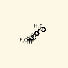 CC1CCCCN1Cc1ccc(OS(=O)(=O)C(F)(F)C(F)(F)C(F)(F)C(F)(F)F)cc1